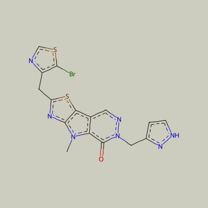 Cn1c2nc(Cc3ncsc3Br)sc2c2cnn(Cc3cc[nH]n3)c(=O)c21